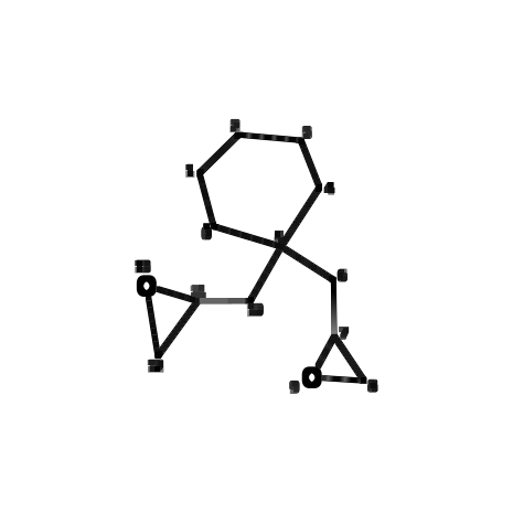 [CH]1CCCCC1(CC1CO1)CC1CO1